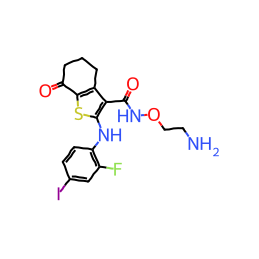 NCCONC(=O)c1c(Nc2ccc(I)cc2F)sc2c1CCCC2=O